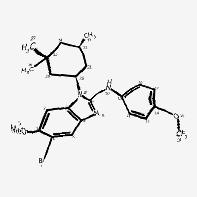 COc1cc2c(cc1Br)nc(Nc1ccc(OC(F)(F)F)cc1)n2[C@@H]1C[C@H](C)CC(C)(C)C1